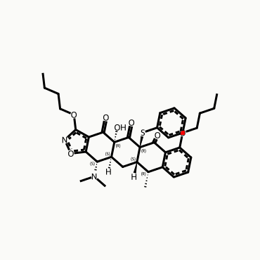 CCCCOc1cccc2c1C(=O)[C@@]1(Sc3ccccc3)C(=O)[C@]3(O)C(=O)c4c(OCCCC)noc4[C@@H](N(C)C)[C@@H]3C[C@H]1[C@H]2C